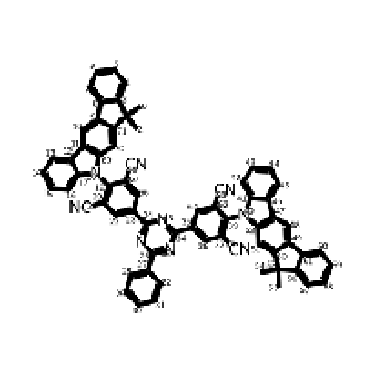 CC1(C)c2ccccc2-c2cc3c4ccccc4n(-c4c(C#N)cc(-c5nc(-c6ccccc6)nc(-c6cc(C#N)c(-n7c8ccccc8c8cc9c(cc87)C(C)(C)c7ccccc7-9)c(C#N)c6)n5)cc4C#N)c3cc21